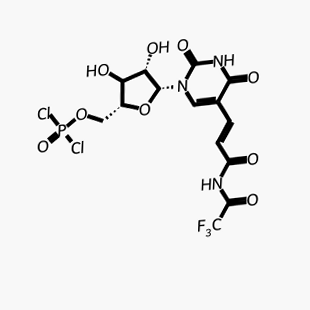 O=C(/C=C/c1cn([C@@H]2O[C@H](COP(=O)(Cl)Cl)C(O)[C@@H]2O)c(=O)[nH]c1=O)NC(=O)C(F)(F)F